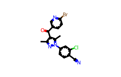 Cc1nn(-c2ccc(C#N)c(Cl)c2)c(C)c1C(=O)c1ccc(Br)nc1